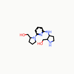 OCC1NCCC1Nc1cccc(N2CCCC2CO)n1